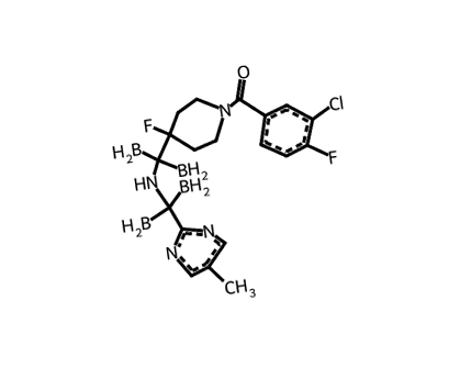 BC(B)(NC(B)(B)C1(F)CCN(C(=O)c2ccc(F)c(Cl)c2)CC1)c1ncc(C)cn1